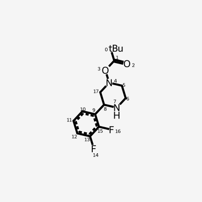 CC(C)(C)C(=O)ON1CCNC(c2cccc(F)c2F)C1